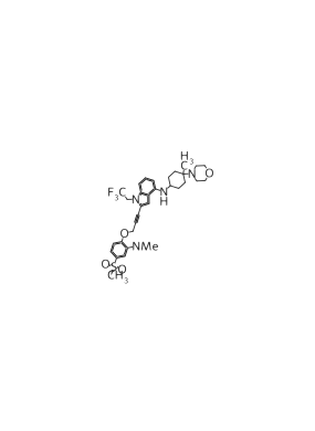 CNc1cc(S(C)(=O)=O)ccc1OCC#Cc1cc2c(NC3CCC(C)(N4CCOCC4)CC3)cccc2n1CC(F)(F)F